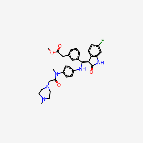 COC(=O)Cc1cccc(/C(Nc2ccc(N(C)C(=O)CN3CCN(C)CC3)cc2)=C2/C(=O)Nc3cc(F)ccc32)c1